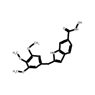 COc1cc(Cc2cc3ccc(C(=O)NO)cc3[nH]2)cc(OC)c1OC